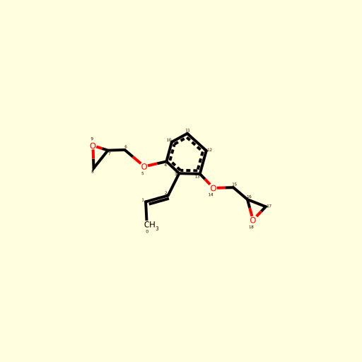 CC=Cc1c(OCC2CO2)cccc1OCC1CO1